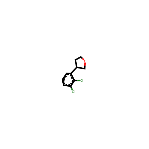 Clc1cccc(C2C[CH]OC2)c1Cl